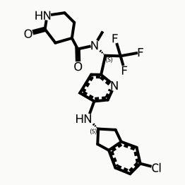 CN(C(=O)C1CCNC(=O)C1)[C@@H](c1ccc(N[C@H]2Cc3ccc(Cl)cc3C2)cn1)C(F)(F)F